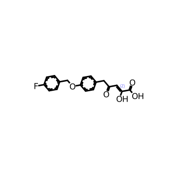 O=C(/C=C(\O)C(=O)O)Cc1ccc(OCc2ccc(F)cc2)cc1